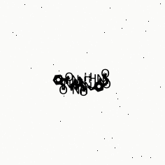 O=C1COc2ccc(CNC(=O)c3ncnc4c(N5C(=O)c6ccccc6C5=O)c[nH]c34)cc2N1